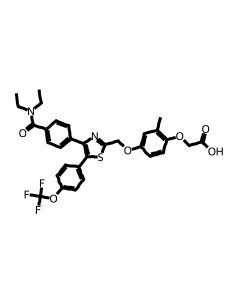 CCN(CC)C(=O)c1ccc(-c2nc(COc3ccc(OCC(=O)O)c(C)c3)sc2-c2ccc(OC(F)(F)F)cc2)cc1